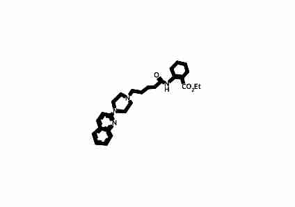 CCOC(=O)C1=C(NC(=O)CCCCN2CCN(c3ccc4ccccc4n3)CC2)CCCC1